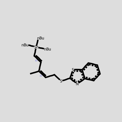 CCC[CH2][Sn](/[CH]=C/C(C)=C\CSc1nc2ccccc2s1)([CH2]CCC)[CH2]CCC